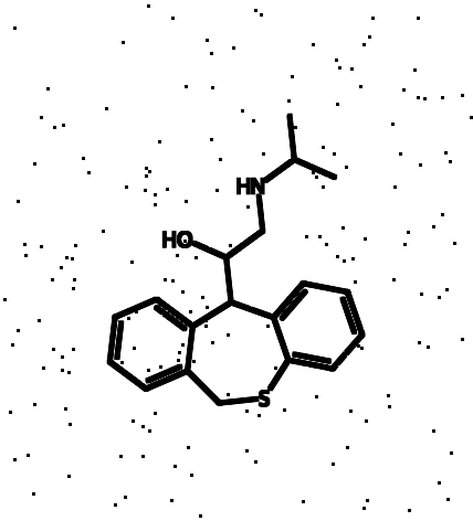 CC(C)NCC(O)C1c2ccccc2CSc2ccccc21